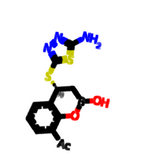 CC(=O)c1cccc2c1OB(O)C[C@H]2Sc1nnc(N)s1